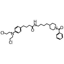 O=C(CCCc1ccc(N(CCCl)CCCl)cc1)NCCCCC1CCN(C(=O)c2ccccc2)CC1